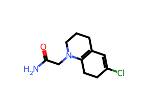 NC(=O)CN1CCCC2=C1CCC(Cl)=C2